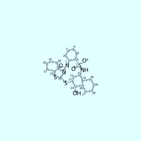 O=[N+]([O-])c1ccccc1S(=O)(=O)Nc1cc(Sc2nc3ccccc3s2)c(O)c2ccccc12